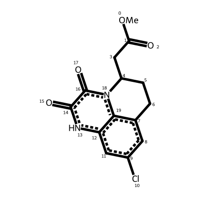 COC(=O)CC1CCc2cc(Cl)cc3[nH]c(=O)c(=O)n1c23